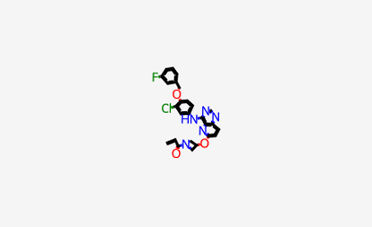 C=CC(=O)N1CC(Oc2ccc3ncnc(Nc4ccc(OCc5cccc(F)c5)c(Cl)c4)c3n2)C1